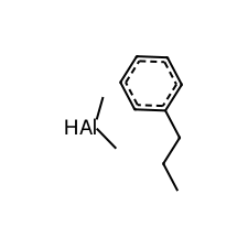 CCCc1ccccc1.[CH3][AlH][CH3]